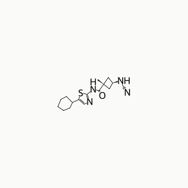 C[C@]1(C(=O)Nc2ncc(C3CCCCC3)s2)C[C@H](NC#N)C1